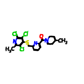 Cc1nc(Cl)c(Cl)c(SCc2cccc(C(=O)N3CCC(C)CC3)n2)c1Cl